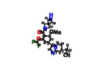 COc1cc(-c2cnc3cc(C(C)(C)C#N)ccn23)cc(OC(F)F)c1C(=O)N1CC2(CNC2)C1